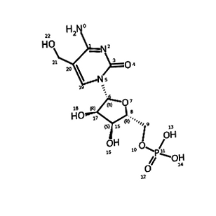 Nc1nc(=O)n([C@@H]2O[C@H](COP(=O)(O)O)[C@@H](O)[C@H]2O)cc1CO